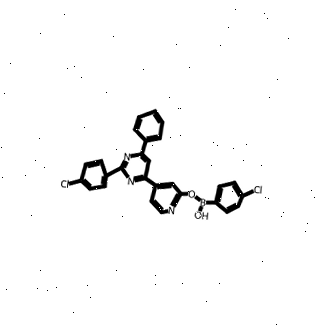 OB(Oc1cc(-c2cc(-c3ccccc3)nc(-c3ccc(Cl)cc3)n2)ccn1)c1ccc(Cl)cc1